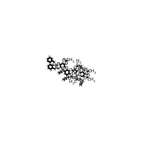 CC(=O)OC[C@H]1O[C@@H](O[C@H]2[C@H](O[C@H]3O[C@H](CN(Cc4ccccc4)C(=O)OCc4ccccc4)CC[C@H]3OC(C)=O)C(N=[N+]=[N-])CC(N=[N+]=[N-])[C@@H]2OC(C)=O)[C@H](OC(C)=O)[C@@H]1O[C@H]1O[C@@H](CN=[N+]=[N-])[C@@H](OC(C)=O)[C@H](OC(C)=O)C1N=[N+]=[N-]